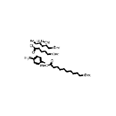 CCCCCCCCCCCCCCC(=O)CC.CCCCCCCCCCCCCCCC(C)=O.CCCCCCCCCCCCCCCCCCCC(=O)OC.Cc1ccc(N)cc1.N#CN